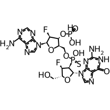 Nc1nc2c(ncn2[C@@H]2O[C@H](CO)[C@@H](F)[C@H]2P(O)(=S)OC[C@H]2O[C@@H](n3cnc4c(N)ncnc43)[C@@H](F)[C@@H]2O[PH](=O)O)c(=O)[nH]1